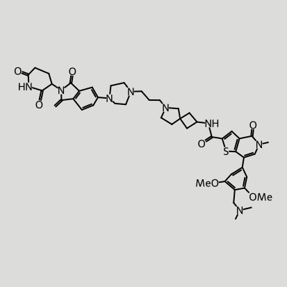 C=C1c2ccc(N3CCN(CCCN4CCC5(CC(NC(=O)c6cc7c(=O)n(C)cc(-c8cc(OC)c(CN(C)C)c(OC)c8)c7s6)C5)C4)CC3)cc2C(=O)N1C1CCC(=O)NC1=O